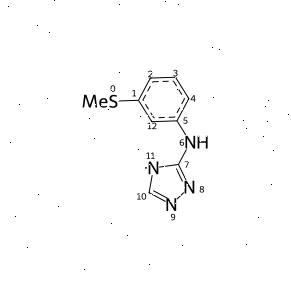 CSc1cccc(NC2=NN=C[N]2)c1